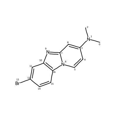 CN(C)c1ccn2c(c1)nc1cc(Br)ccc12